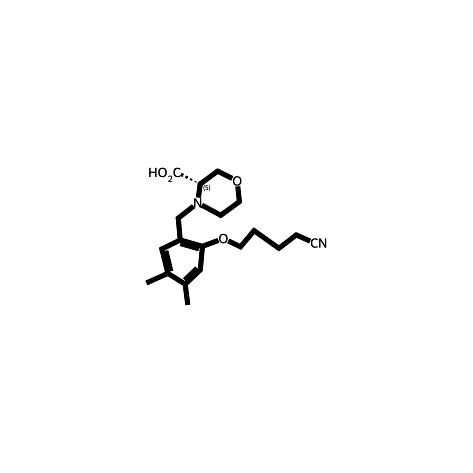 Cc1cc(CN2CCOC[C@H]2C(=O)O)c(OCCCCC#N)cc1C